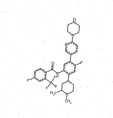 CC1CN(c2cc(F)c(-c3ccc(N4CCNCC4)nc3)cc2NC(=O)c2ccc(F)cc2C(F)(F)F)CCN1C